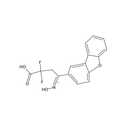 O=C(O)C(F)(F)C/C(=N\O)c1ccc2oc3ccccc3c2c1